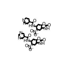 O=C(Nc1cc2oc(=O)[nH]c2cc1[N+](=O)[O-])c1ccnnc1.O=C(Nc1cc2oc(=O)[nH]c2cc1[N+](=O)[O-])c1cncnc1